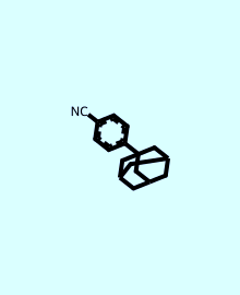 N#Cc1ccc(C23CC4CC(CC(C4)C2)C3)cc1